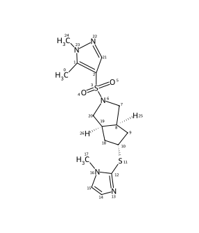 Cc1c(S(=O)(=O)N2C[C@H]3C[C@H](Sc4nccn4C)C[C@H]3C2)cnn1C